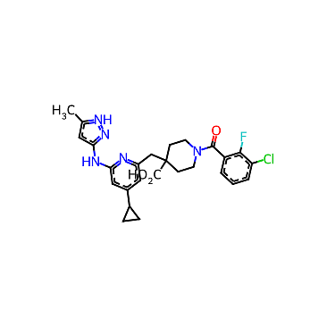 Cc1cc(Nc2cc(C3CC3)cc(CC3(C(=O)O)CCN(C(=O)c4cccc(Cl)c4F)CC3)n2)n[nH]1